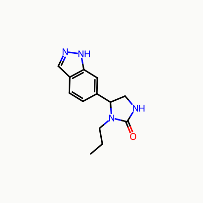 CCCN1C(=O)NCC1c1ccc2cn[nH]c2c1